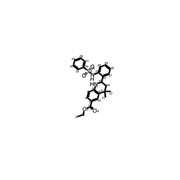 CCOC(=O)c1ccc2c(c1)C(C)(C)CC(c1ccccc1NS(=O)(=O)c1ccccc1)N2